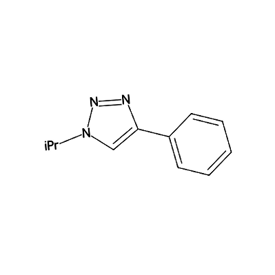 CC(C)n1cc(-c2ccccc2)nn1